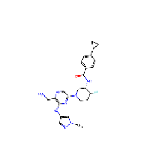 Cn1cc(Nc2nc(N3CC[C@H](F)[C@@H](NC(=O)c4ccc(C5CC5)cc4)C3)cnc2CN)cn1